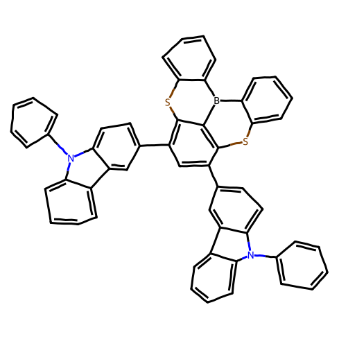 c1ccc(-n2c3ccccc3c3cc(-c4cc(-c5ccc6c(c5)c5ccccc5n6-c5ccccc5)c5c6c4Sc4ccccc4B6c4ccccc4S5)ccc32)cc1